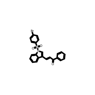 O=C(/C=C/c1cn(S(=O)(=O)c2ccc(Br)cc2)c2ccccc12)c1ccccc1